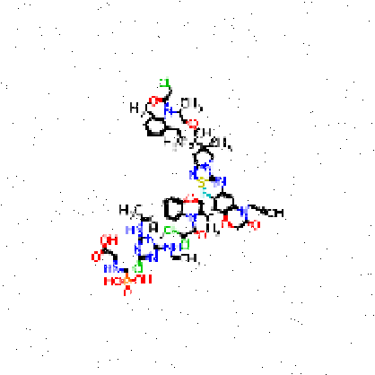 C#CCN1C(=O)COc2cc(F)c(/N=c3\snc4n3CC(C)(C)C4)cc21.CC1COc2ccccc2N1C(=O)C(Cl)Cl.CCNc1nc(Cl)nc(NC(C)C)n1.CCc1cccc(C)c1N(C(=O)CCl)C(C)COC.O=C(O)CNCP(=O)(O)O